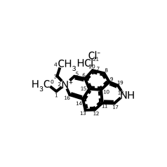 CC[N+]1(CC)C=c2ccc3c4c(ccc(c24)=C1)=CNC=3.Cl.[Cl-]